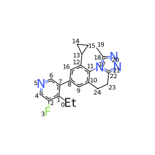 CCc1c(F)cncc1-c1cc2c(c(C3CC3)c1)-n1c(C)nnc1CC2